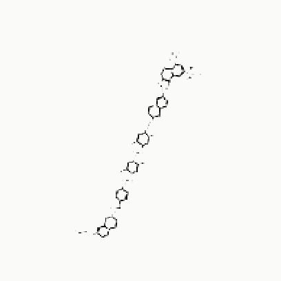 CCCOc1ccc2ccc(NC(=O)c3ccc(N=Nc4cc(C)c(N=Nc5cc(C)c(N=Nc6ccc7cc(-n8nc9ccc%10c(S(=O)(=O)O)cc(S(=O)(=O)O)cc%10c9n8)ccc7c6O)cc5C)cc4C)cc3)cc2c1